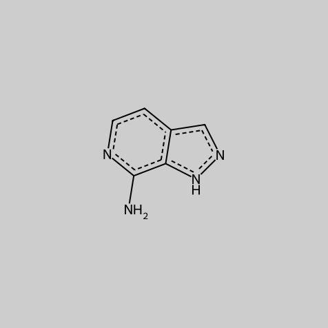 Nc1nccc2cn[nH]c12